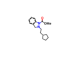 COC(=O)N1c2c[c]ccc2CN1CCC1CCCC1